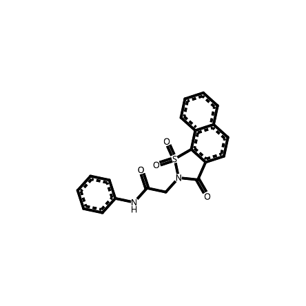 O=C(CN1C(=O)c2ccc3ccccc3c2S1(=O)=O)Nc1ccccc1